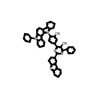 N#Cc1cc(-c2nc(-c3ccc4sc5ccccc5c4c3)nc(-c3ccccc3)c2C#N)ccc1-n1c2ccccc2c2ccc3c(c4ccccc4n3-c3ccccc3)c21